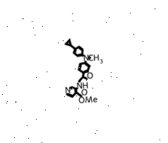 COC(=O)c1ccncc1NCC1COc2cc(N(C)c3ccc(C4CC4)cc3)ccc21